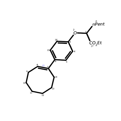 CCCCCC(Oc1ccc(/C2=C/CCCCCC2)cc1)C(=O)OCC